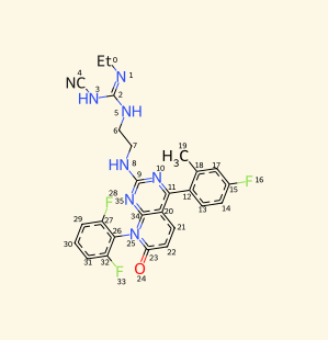 CC/N=C(\NC#N)NCCNc1nc(-c2ccc(F)cc2C)c2ccc(=O)n(-c3c(F)cccc3F)c2n1